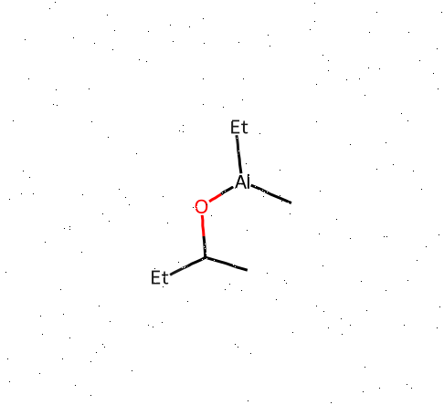 CCC(C)[O][Al]([CH3])[CH2]C